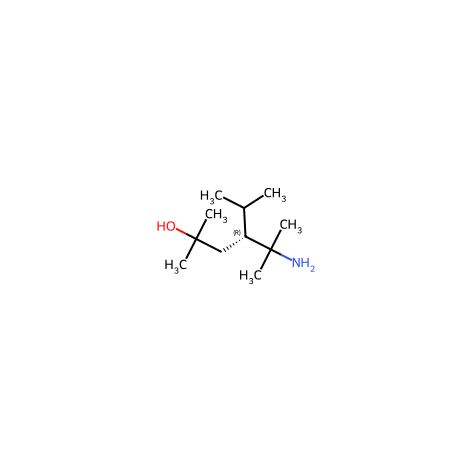 CC(C)[C@@H](CC(C)(C)O)C(C)(C)N